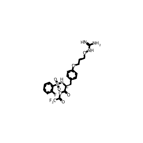 N=C(N)NOCCCOc1ccc(C[C@H](NS(=O)(=O)c2ccccc2F)C(=O)OC(=O)C(F)(F)F)cc1